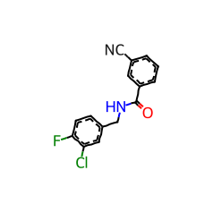 N#Cc1cccc(C(=O)NCc2ccc(F)c(Cl)c2)c1